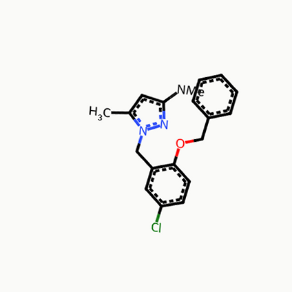 CNc1cc(C)n(Cc2cc(Cl)ccc2OCc2ccccc2)n1